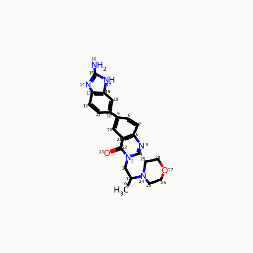 CC(Cn1cnc2ccc(-c3ccc4nc(N)[nH]c4c3)cc2c1=O)N1CCOCC1